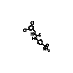 NC(=O)c1ccc(NC(=S)NCc2cc(Cl)cc(Cl)c2)cc1